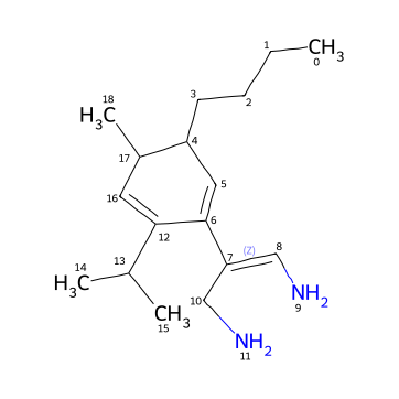 CCCCC1C=C(/C(=C/N)CN)C(C(C)C)=CC1C